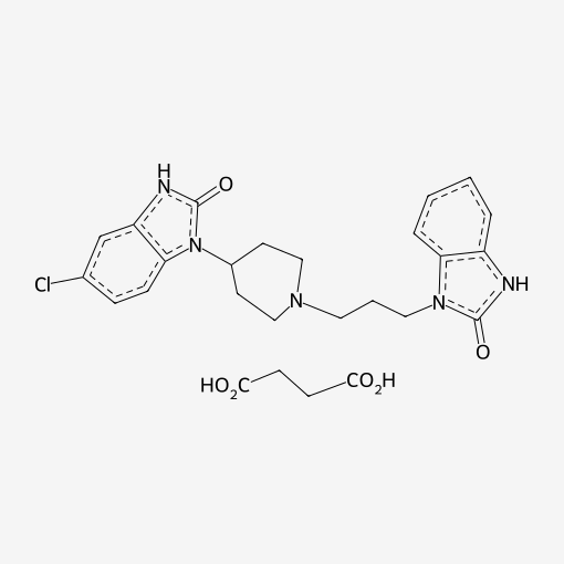 O=C(O)CCC(=O)O.O=c1[nH]c2ccccc2n1CCCN1CCC(n2c(=O)[nH]c3cc(Cl)ccc32)CC1